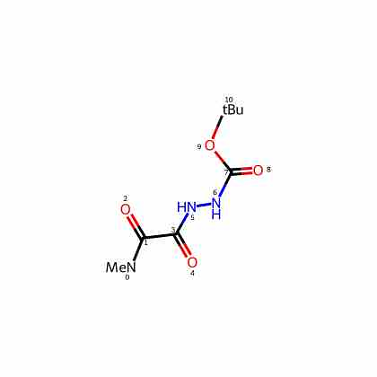 CNC(=O)C(=O)NNC(=O)OC(C)(C)C